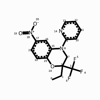 CCC1(C(F)(F)F)CN(c2ccccn2)c2cc([N+](=O)[O-])ccc2O1